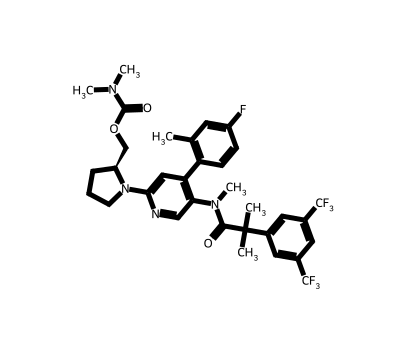 Cc1cc(F)ccc1-c1cc(N2CCC[C@H]2COC(=O)N(C)C)ncc1N(C)C(=O)C(C)(C)c1cc(C(F)(F)F)cc(C(F)(F)F)c1